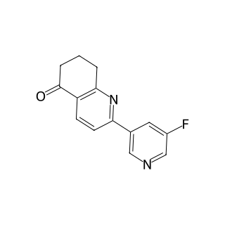 O=C1CCCc2nc(-c3cncc(F)c3)ccc21